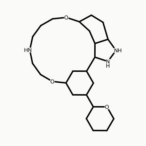 C1CNCCOC2CC(C3CCCCO3)CC(C2)C2NNC3CCC(CC32)OC1